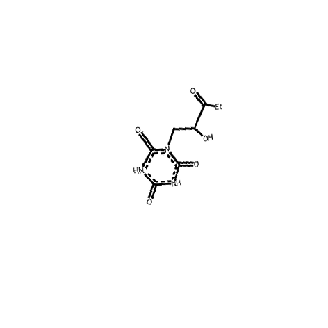 CCC(=O)C(O)Cn1c(=O)[nH]c(=O)[nH]c1=O